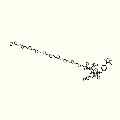 CCOCCOCCOCCOCCOCCOCCOCCOCCOCCOCCC(=O)N[C@H](C(=O)N1C[C@H](O)C[C@H]1C(=O)NCc1ccc(-c2scnc2C)cc1)C(C)(C)C